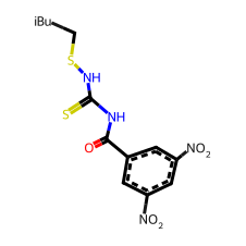 CCC(C)CSNC(=S)NC(=O)c1cc([N+](=O)[O-])cc([N+](=O)[O-])c1